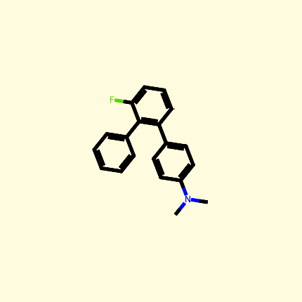 CN(C)c1ccc(-c2[c]ccc(F)c2-c2ccccc2)cc1